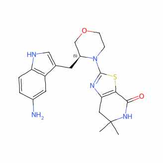 CC1(C)Cc2nc(N3CCOC[C@@H]3Cc3c[nH]c4ccc(N)cc34)sc2C(=O)N1